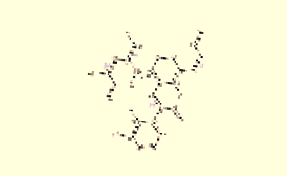 C=C/C=C\C1=C(C)C(/C=C(\C=C)c2cccc(F)c2C)=C(N(C)C(/C=C(/F)C=C)=C/C)CC1